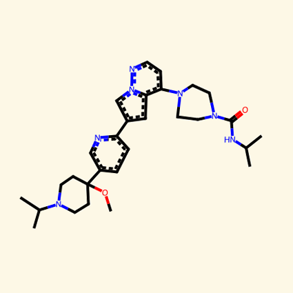 COC1(c2ccc(-c3cc4c(N5CCN(C(=O)NC(C)C)CC5)ccnn4c3)nc2)CCN(C(C)C)CC1